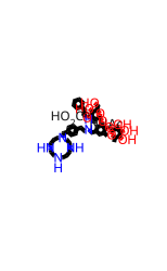 CC(=O)NC1C(OC2CC(CNCCc3ccc(CN4CCCNCCNCCCNCC4)cc3)CC(C)C2OC2OC(C)C(O)C(O)C2O)OC(CO)C(O)C1O[C@@H](CC1CCCCC1)C(=O)O